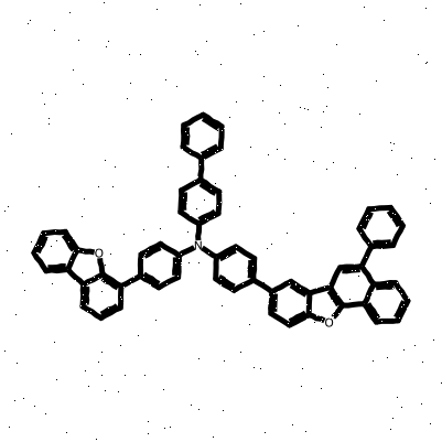 c1ccc(-c2ccc(N(c3ccc(-c4ccc5oc6c7ccccc7c(-c7ccccc7)cc6c5c4)cc3)c3ccc(-c4cccc5c4oc4ccccc45)cc3)cc2)cc1